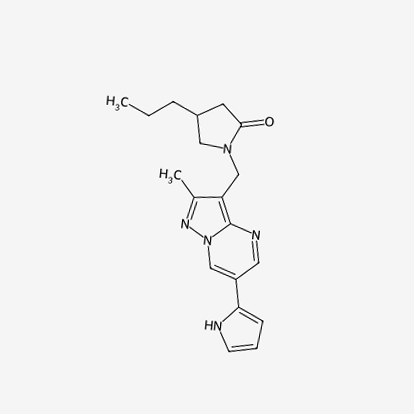 CCCC1CC(=O)N(Cc2c(C)nn3cc(-c4ccc[nH]4)cnc23)C1